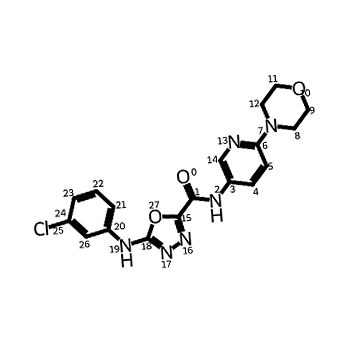 O=C(Nc1ccc(N2CCOCC2)nc1)c1nnc(Nc2cccc(Cl)c2)o1